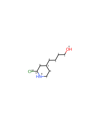 OCCCCC1C[CH]NC(Cl)C1